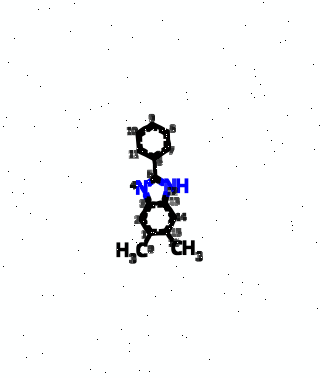 Cc1cc2nc(-c3ccccc3)[nH]c2cc1C